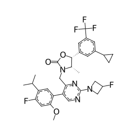 COc1cc(F)c(C(C)C)cc1-c1cnc(N2CC(F)C2)nc1CN1C(=O)O[C@H](c2cc(C3CC3)cc(C(F)(F)F)c2)[C@@H]1C